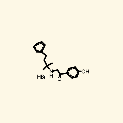 Br.CC(C)(CCc1ccccc1)NCC(=O)c1ccc(O)cc1